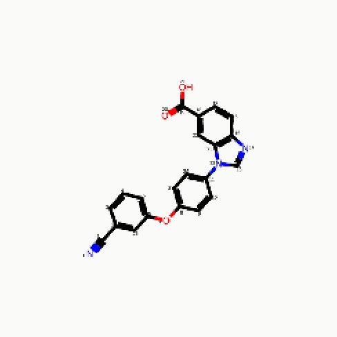 N#Cc1cccc(Oc2ccc(-n3cnc4ccc(C(=O)O)cc43)cc2)c1